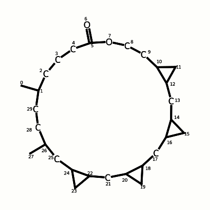 CC1CCCC(=O)OCCC2CC2CC2CC2CC2CC2CC2CC2CC(C)CC1